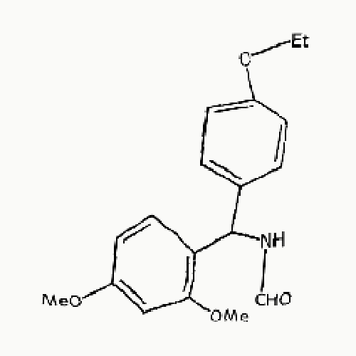 CCOc1ccc(C(NC=O)c2ccc(OC)cc2OC)cc1